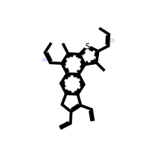 C=CC1=C(C=C)c2cc3c(cc2C1)c(/C=C\C)c(C)c1sc(/C=C\C)c(C)c13